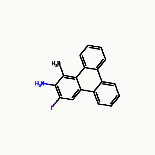 Bc1c(N)c(I)cc2c3ccccc3c3ccccc3c12